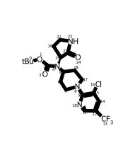 CC(C)(C)OC(=O)N(C1CCN(c2ncc(C(F)(F)F)cc2Cl)CC1)[C@H]1CCNC1=O